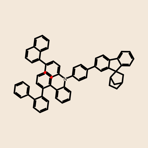 c1ccc(-c2ccccc2-c2ccccc2-c2ccccc2N(c2ccc(-c3ccc4c(c3)C3(CC5CCC3C5)c3ccccc3-4)cc2)c2ccc(-c3cccc4ccccc34)cc2)cc1